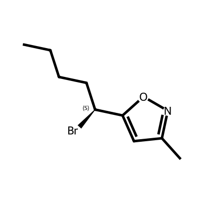 CCCC[C@H](Br)c1cc(C)no1